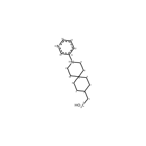 O=C(O)CC1CCC2(CC1)CCN(c1cccnc1)CC2